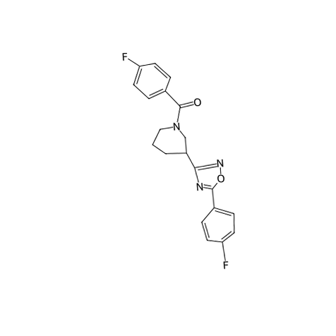 O=C(c1ccc(F)cc1)N1CCCC(c2noc(-c3ccc(F)cc3)n2)C1